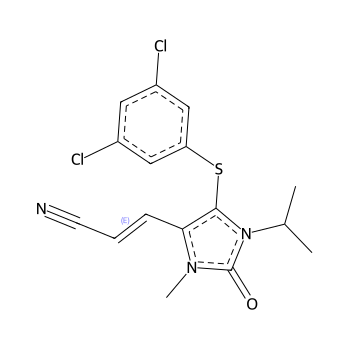 CC(C)n1c(Sc2cc(Cl)cc(Cl)c2)c(/C=C/C#N)n(C)c1=O